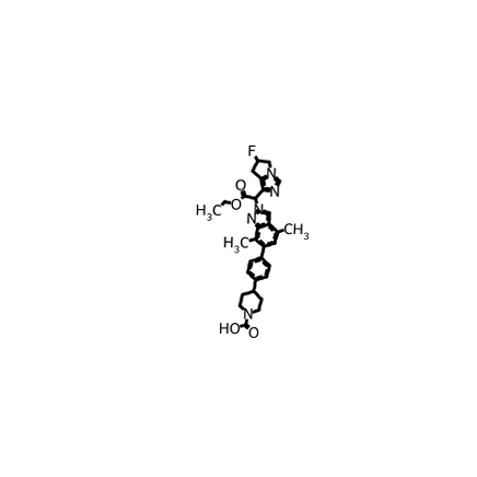 CCOC(=O)C(c1ncn2c1CC(F)C2)n1cc2c(C)cc(-c3ccc(C4CCN(C(=O)O)CC4)cc3)c(C)c2n1